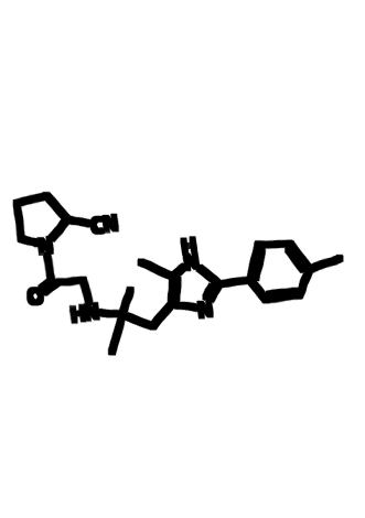 Cc1ccc(-c2nc(CC(C)(C)NCC(=O)N3CCCC3C#N)c(C)[nH]2)cc1